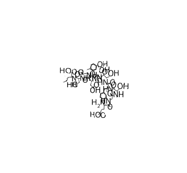 CC[C@H](C)[C@H](NC(=O)[C@H](CO)NC(=O)[C@H](Cc1ccc(O)cc1)NC(=O)[C@H](CC(=O)O)NC(=O)[C@H](CO)NC(=O)[C@@H](NC(=O)[C@H](Cc1ccccc1)NC(=O)[C@@H](NC(=O)CNC(=O)[C@@H](N)CCC(=O)O)[C@@H](C)O)[C@@H](C)O)C(=O)O